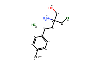 CCCCCCCCc1ccc(CCC(N)(CO)CCl)cc1.Cl